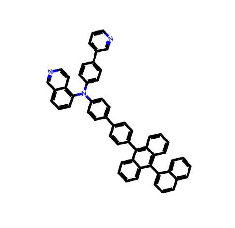 c1cncc(-c2ccc(N(c3ccc(-c4ccc(-c5c6ccccc6c(-c6cccc7ccccc67)c6ccccc56)cc4)cc3)c3cccc4cnccc34)cc2)c1